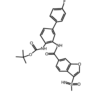 CC(C)(C)OC(=O)Nc1ccc(-c2ccc(F)cc2)cc1NC(=O)c1ccc2c(S(C)(=N)=O)coc2c1